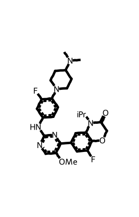 COc1cnc(Nc2ccc(N3CCC(N(C)C)CC3)c(F)c2)nc1-c1cc(F)c2c(c1)N(C(C)C)C(=O)CO2